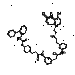 CN(C(=O)CCN1CCC(OC(=O)Nc2ccccc2-c2ccccc2)CC1)c1cccc(CC(=O)Nc2cccc(CCNCCc3ccc(O)c4[nH]c(=O)ccc34)c2)c1